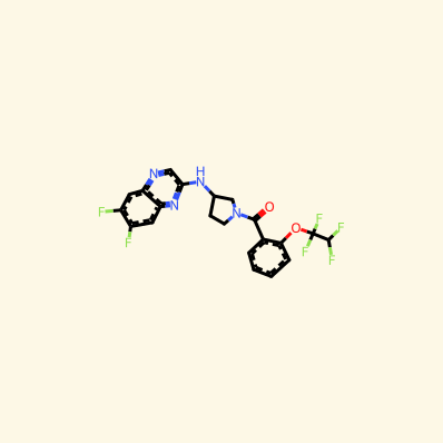 O=C(c1ccccc1OC(F)(F)C(F)F)N1CCC(Nc2cnc3cc(F)c(F)cc3n2)C1